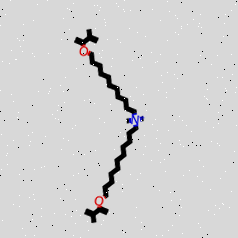 C=C(C)C(=C)OCCCCCCCCCCC[N+](C)(C)CCCCCCCCCCCOC(=C)C(=C)C